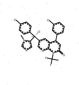 Cn1cncc1[C@@](Cl)(c1ccc(Cl)cc1)c1cnc2c(c1)c(-c1cccc(Cl)c1)cc(=O)n2C(F)(F)F